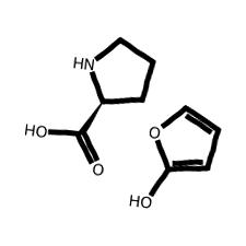 O=C(O)[C@@H]1CCCN1.Oc1ccco1